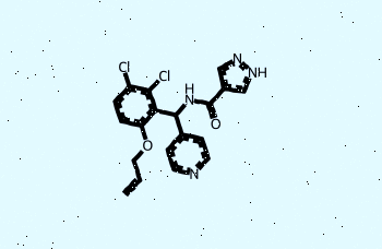 C=CCOc1ccc(Cl)c(Cl)c1C(NC(=O)c1cn[nH]c1)c1ccncc1